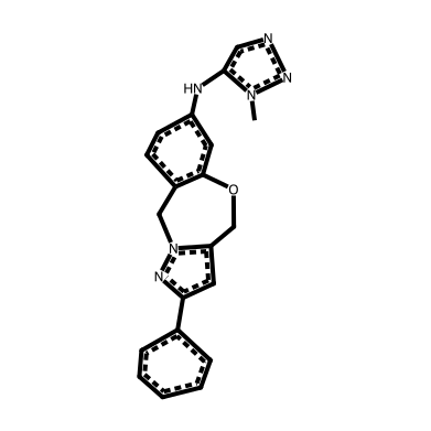 Cn1nncc1Nc1ccc2c(c1)OCc1cc(-c3ccccc3)nn1C2